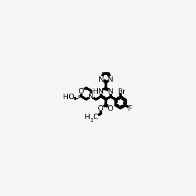 CCOC(=O)C1=C(CN2CCO[C@@H](CO)C2)NC(C2=NCC=N2)=NC1c1ccc(F)cc1Br